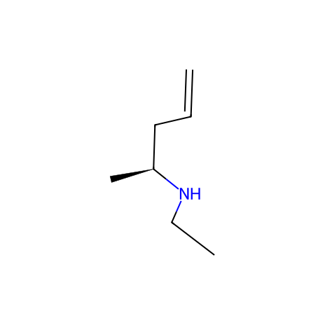 C=CC[C@H](C)NCC